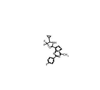 Cc1nc(-c2ccc(F)cc2)nc2c(C(=O)NC(C3CC3)C(F)(F)F)ccn12